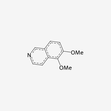 COc1ccc2cnccc2c1OC